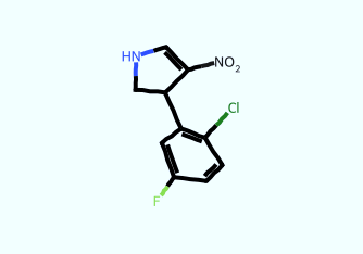 O=[N+]([O-])C1=CNCC1c1cc(F)ccc1Cl